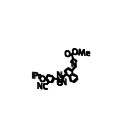 COC(=O)C1CN(Cc2ccc(-c3noc(-c4ccc(OC(C)C)c(C#N)c4)n3)c3ccccc23)C1